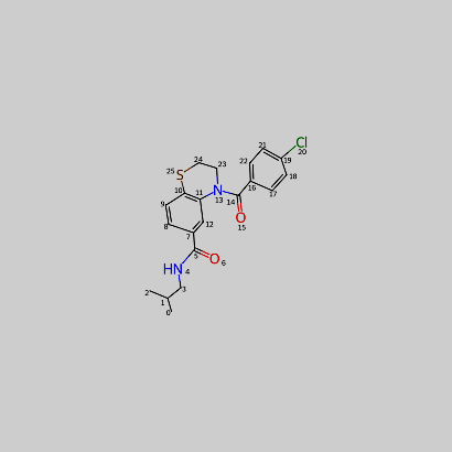 CC(C)CNC(=O)c1ccc2c(c1)N(C(=O)c1ccc(Cl)cc1)CCS2